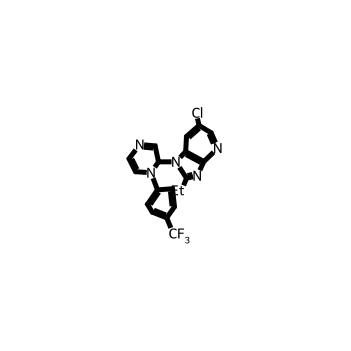 CCc1nc2ncc(Cl)cc2n1C1C=NC=CN1c1ccc(C(F)(F)F)cc1